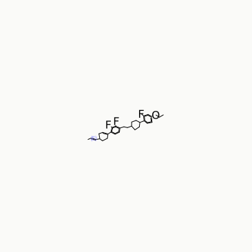 C/C=C/C1CC=C(c2ccc(CCC3CCC(c4ccc(OCC)cc4F)CC3)c(F)c2F)CC1